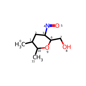 CC1CC(N=O)C(CO)OC1C